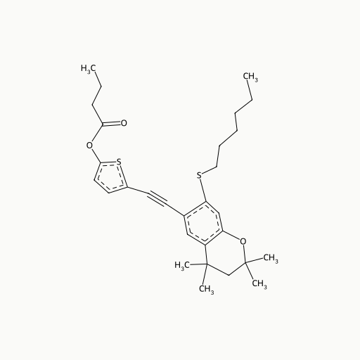 CCCCCCSc1cc2c(cc1C#Cc1ccc(OC(=O)CCC)s1)C(C)(C)CC(C)(C)O2